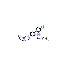 CC1CCCN(c2cc(Cl)ccc2-c2ccc(N3CCN(CC4CC4C(F)(F)F)CC3)cc2)C1